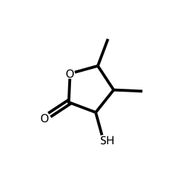 CC1OC(=O)C(S)C1C